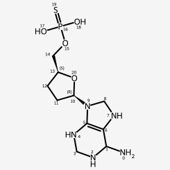 NC1NCNC2=C1NCN2[C@H]1CC[C@@H](COP(O)(O)=S)O1